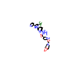 O=C(Nc1ccc(-n2nc(-c3cccnc3)cc2C(F)(F)F)cn1)c1ccc(OCCN2CCOCC2)nc1